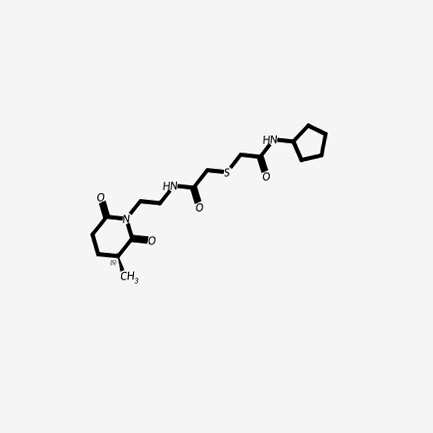 C[C@H]1CCC(=O)N(CCNC(=O)CSCC(=O)NC2CCCC2)C1=O